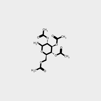 CC(=O)OC[C@H]1OC(N)[C@H](OC(C)=O)[C@@H](OC(C)=O)[C@@H]1OC(C)=O